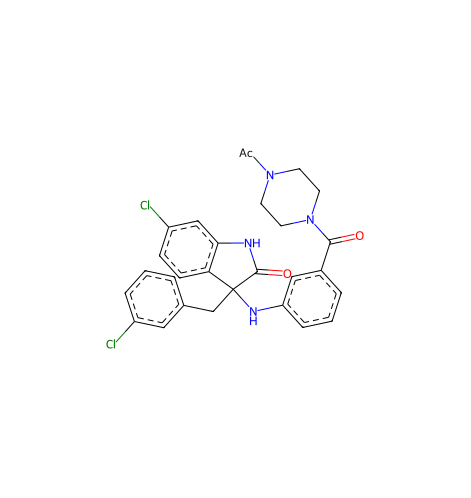 CC(=O)N1CCN(C(=O)c2cccc(NC3(Cc4cccc(Cl)c4)C(=O)Nc4cc(Cl)ccc43)c2)CC1